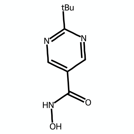 CC(C)(C)c1ncc(C(=O)NO)cn1